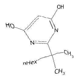 CCCCCCC(C)(C)c1nc(O)cc(O)n1